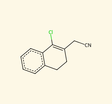 N#CCC1=C(Cl)c2ccccc2CC1